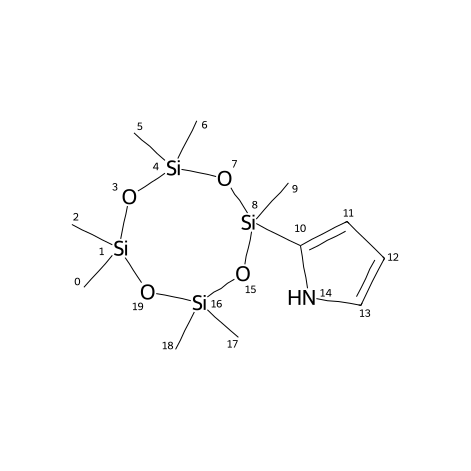 C[Si]1(C)O[Si](C)(C)O[Si](C)(c2ccc[nH]2)O[Si](C)(C)O1